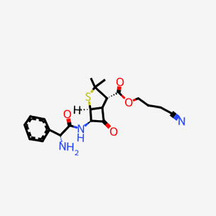 CC1(C)S[C@H]2C(C(=O)[C@H]2NC(=O)[C@H](N)c2ccccc2)[C@H]1C(=O)OCCCC#N